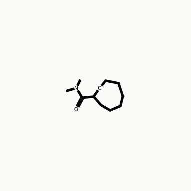 CN(C)C(=O)C1CCC[CH]CCC1